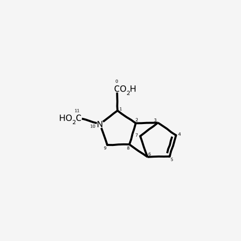 O=C(O)C1C2C3C=CC(C3)C2CN1C(=O)O